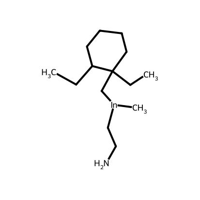 CCC1CCCCC1(CC)[CH2][In]([CH3])[CH2]CN